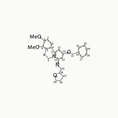 COc1ccc2c(c1OC)CCn1c-2cc(OCc2ccccc2)cc1=NCC1CCCO1